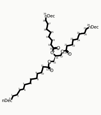 CCCCCCCCCCCCCCCCCCCCCC(=O)OC[C@H](COC(=O)CCCCCCCCCCCCCCCCC)OC(=O)CCCCCCCCCCCCCCCCC